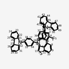 N#Cc1cc(F)c(-c2cccc3scc(N(c4ccc(-n5c6ccccc6c6ccccc65)cc4)c4ccc(-n5c6ccccc6c6ccccc65)cc4)c23)c(F)c1